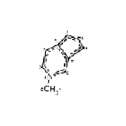 [CH2][n+]1ccc2cscc2c1